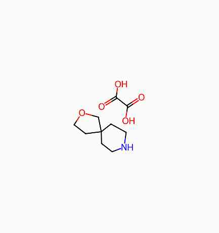 C1CC2(CCN1)CCOC2.O=C(O)C(=O)O